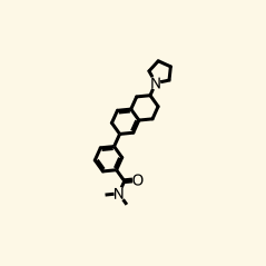 CN(C)C(=O)c1cccc(C2C=C3CCC(N4CCCC4)CC3=CC2)c1